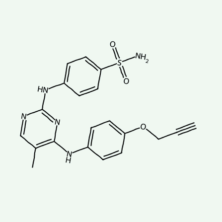 C#CCOc1ccc(Nc2nc(Nc3ccc(S(N)(=O)=O)cc3)ncc2C)cc1